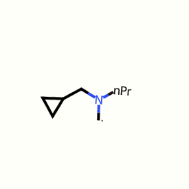 [CH2]N(CCC)CC1CC1